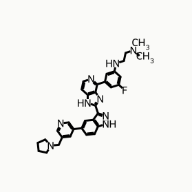 CN(C)CCNc1cc(F)cc(-c2nccc3[nH]c(-c4n[nH]c5ccc(-c6cncc(CN7CCCC7)c6)cc45)nc23)c1